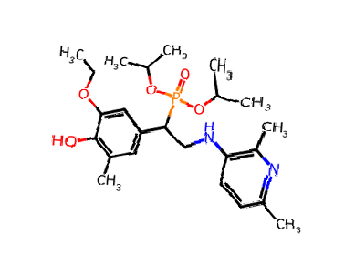 CCOc1cc(C(CNc2ccc(C)nc2C)P(=O)(OC(C)C)OC(C)C)cc(C)c1O